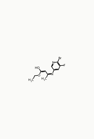 CCOC(O)=CC(C)=Nc1cnc(Br)c(F)c1